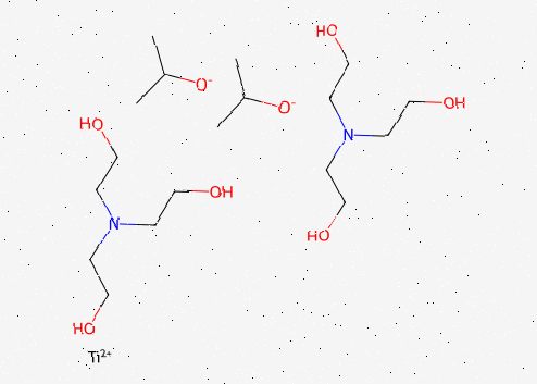 CC(C)[O-].CC(C)[O-].OCCN(CCO)CCO.OCCN(CCO)CCO.[Ti+2]